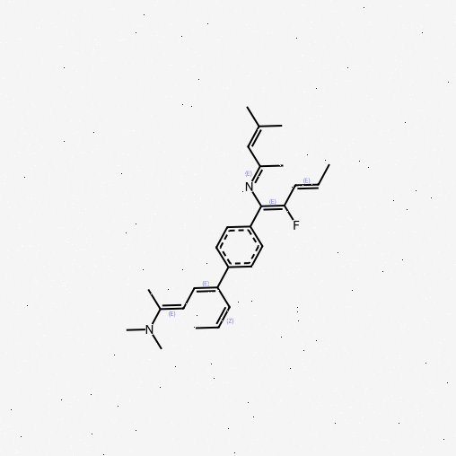 C\C=C/C(=C\C=C(/C)N(C)C)c1ccc(C(/N=C(\C)C=C(C)C)=C(F)/C=C/C)cc1